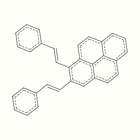 C(=C\c1cc2ccc3cccc4ccc(c1/C=C/c1ccccc1)c2c34)/c1ccccc1